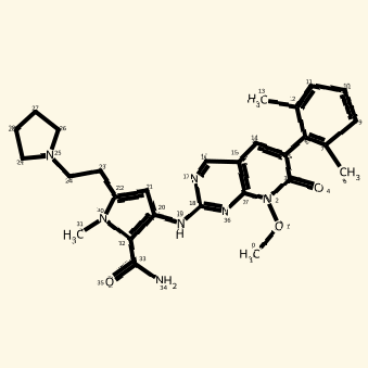 COn1c(=O)c(-c2c(C)cccc2C)cc2cnc(Nc3cc(CCN4CCCC4)n(C)c3C(N)=O)nc21